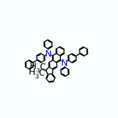 CC1(C)c2ccccc2-c2cc3c(N(c4ccccc4)c4ccc(-c5ccccc5)cc4)c4ccccc4c(N(c4ccccc4)c4ccc(-c5ccccc5)cc4)c3cc21